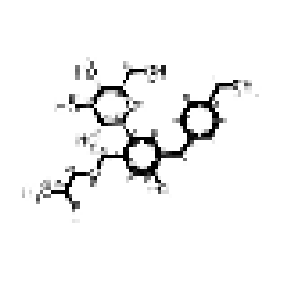 CCc1ccc(Cc2cc([C@@H]3O[C@H](CO)[C@@H](O)[C@H](O)[C@H]3O)c(COCC(C)F)cc2Cl)cc1